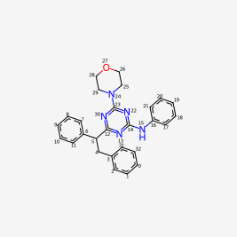 c1ccc(CC(c2ccccc2)c2nc(Nc3ccccc3)nc(N3CCOCC3)n2)cc1